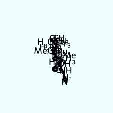 CC[C@H](C)[C@@H]([C@@H](CC(=O)N1CCCC1[C@H](OC)[C@@H](C)C(=O)N[C@@H](Cc1ccccc1)P(=O)(O)CC(=O)NCCCN=[N+]=[N-])OC)N(C)C(=O)C(N=C(N(C)C)N(C)C)C(C)C